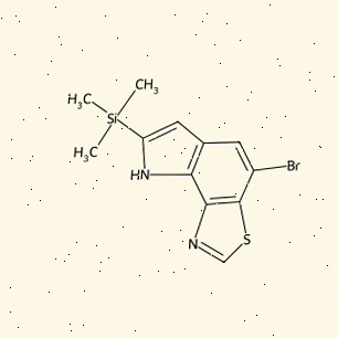 C[Si](C)(C)c1cc2cc(Br)c3scnc3c2[nH]1